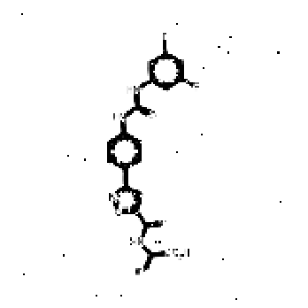 CC(C)C(NC(=O)c1cc(-c2ccc(NC(=O)Nc3cc(F)cc(F)c3)cc2)no1)C(=O)O